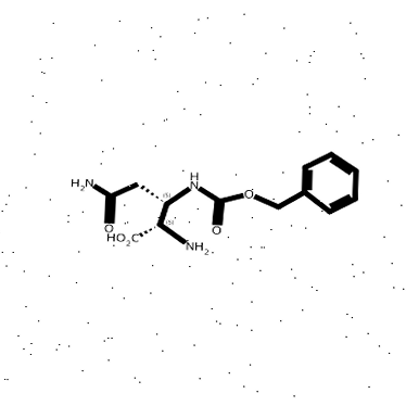 NC(=O)C[C@H](NC(=O)OCc1ccccc1)[C@H](N)C(=O)O